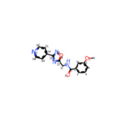 COc1cccc(C(=O)NCc2nc(-c3ccncc3)no2)c1